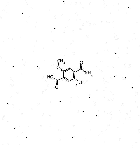 COc1cc(C(N)=O)c(Cl)cc1C(=O)O